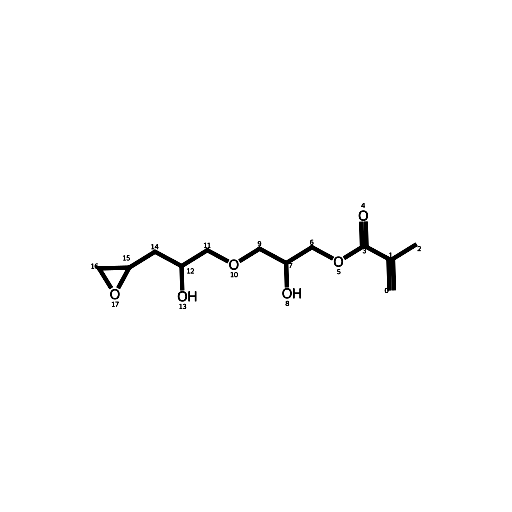 C=C(C)C(=O)OCC(O)COCC(O)CC1CO1